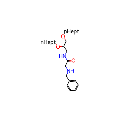 CCCCCCCOCC(CNC(=O)CNCc1ccccc1)OCCCCCCC